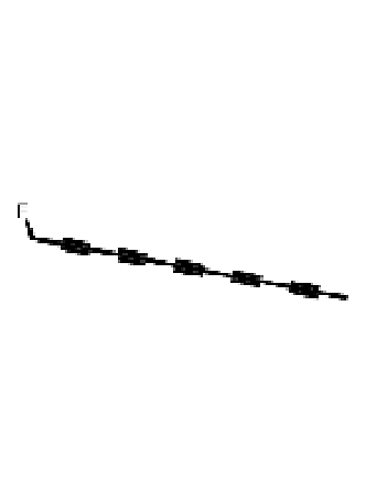 CC#CC#CC#CC#CC#CCF